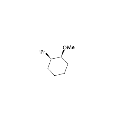 CO[C@H]1CCCC[C@H]1C(C)C